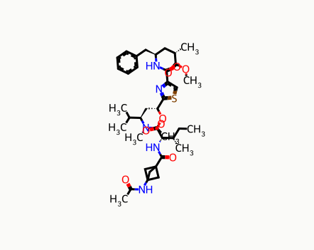 CC[C@H](C)[C@H](NC(=O)C12CC(NC(C)=O)(C1)C2)C(=O)N(C)[C@H](C[C@@H](OC(C)=O)c1nc(C(=O)N[C@@H](Cc2ccccc2)C[C@H](C)C(=O)OC)cs1)C(C)C